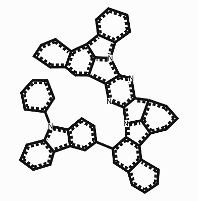 c1ccc(-n2c3ccccc3c3cc(-c4cc5ccccc5c5c6cccc7c8nc9c(nc8n(c45)c76)c4cc5ccccc5c5c6ccccc6n9c45)ccc32)cc1